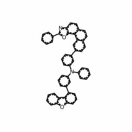 c1ccc(-c2nc3ccc4ccc5ccc(-c6cccc(N(c7ccccc7)c7cccc(-c8cccc9oc%10ccccc%10c89)c7)c6)cc5c4c3o2)cc1